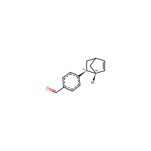 O=Cc1ccc([C@H]2CC3C=C[C@H]2C3)cc1